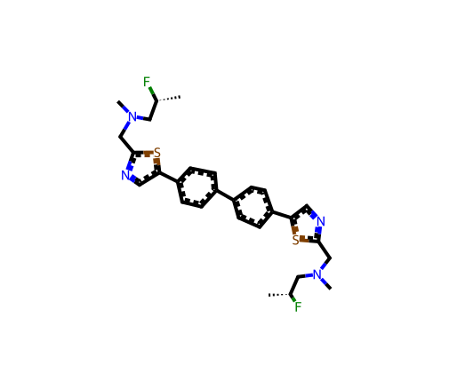 C[C@@H](F)CN(C)Cc1ncc(-c2ccc(-c3ccc(-c4cnc(CN(C)C[C@@H](C)F)s4)cc3)cc2)s1